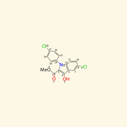 COC(=O)c1c(O)c2cc(Cl)ccc2n1-c1ccc(Cl)cc1